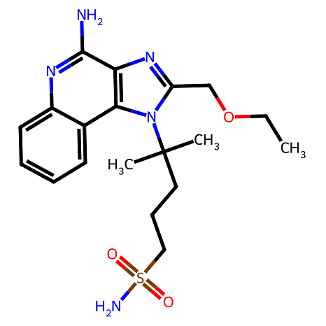 CCOCc1nc2c(N)nc3ccccc3c2n1C(C)(C)CCCS(N)(=O)=O